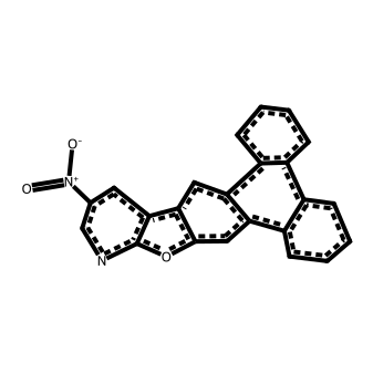 O=[N+]([O-])c1cnc2oc3cc4c5ccccc5c5ccccc5c4cc3c2c1